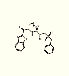 CC[C@H](NC(=O)[C@@H](O)CS(=O)(=O)Cc1ccccc1)C(=O)c1nc2ccccc2o1